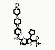 CCN1CCC(N2CCN(c3ccc(Nc4ncc5sc(C(=O)N(C)C)c(C6CCCC6)c5n4)nc3)CC2)CC1